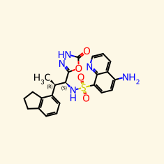 C[C@H](c1cccc2c1CCC2)[C@H](NS(=O)(=O)c1ccc(N)c2cccnc12)c1n[nH]c(=O)o1